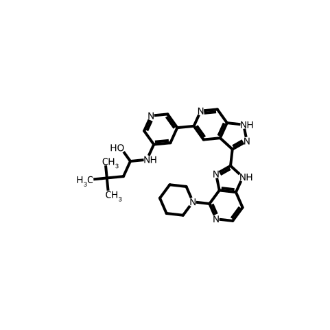 CC(C)(C)CC(O)Nc1cncc(-c2cc3c(-c4nc5c(N6CCCCC6)nccc5[nH]4)n[nH]c3cn2)c1